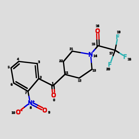 O=C(c1ccccc1[N+](=O)[O-])C1CCN(C(=O)C(F)(F)F)CC1